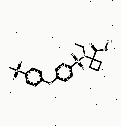 CCN(C1(C(=O)NO)CCC1)S(=O)(=O)c1ccc(Oc2ccc(S(C)(=O)=O)cc2)cc1